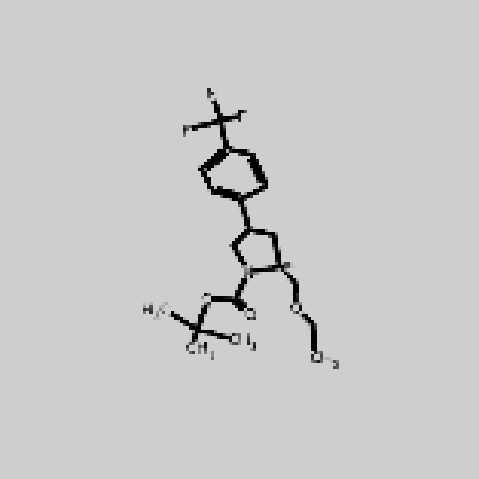 CCOC[C@@H]1CC(c2ccc(C(F)(F)F)cc2)CN1C(=O)OC(C)(C)C